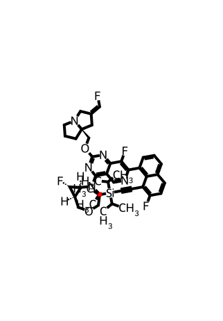 CC(C)[Si](C#Cc1c(F)ccc2cccc(-c3ncc4c(N5CCOC[C@H]6[C@H](F)[C@H]65)nc(OC[C@@]56CCCN5C/C(=C\F)C6)nc4c3F)c12)(C(C)C)C(C)C